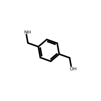 [NH]Cc1ccc(CO)cc1